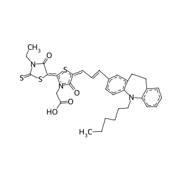 CCCCCCN1c2ccccc2CCc2cc(/C=C/C=c3/s/c(=C4/SC(=S)N(CC)C4=O)n(CC(=O)O)c3=O)ccc21